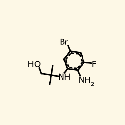 CC(C)(CO)Nc1cc(Br)cc(F)c1N